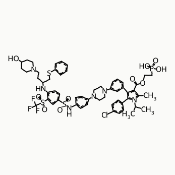 Cc1c(C(=O)OCCP(=O)(O)O)c(-c2cccc(N3CCN(c4ccc(NS(=O)(=O)c5ccc(NC(CCN6CCC(O)CC6)CSc6ccccc6)c(S(=O)(=O)C(F)(F)F)c5)cc4)CC3)c2)c(-c2ccc(Cl)cc2)n1C(C)C